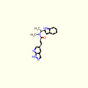 CC(c1cc2ccccc2[nH]1)N(C)C(=O)C=Cc1cnc2[nH]ncc2c1